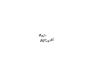 [Al].[As-3].[Ga+3].[In]